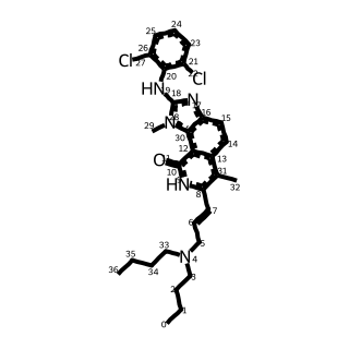 CCCCN(C/C=C/c1[nH]c(=O)c2c(ccc3nc(Nc4c(Cl)cccc4Cl)n(C)c32)c1C)CCCC